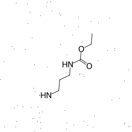 CCOC(=O)NCCC[NH]